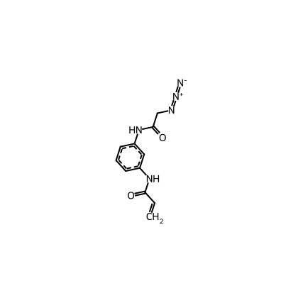 C=CC(=O)Nc1cccc(NC(=O)CN=[N+]=[N-])c1